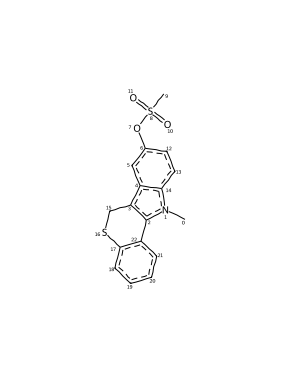 Cn1c2c(c3cc(OS(C)(=O)=O)ccc31)CSc1ccccc1-2